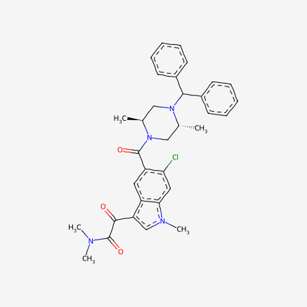 C[C@@H]1CN(C(=O)c2cc3c(C(=O)C(=O)N(C)C)cn(C)c3cc2Cl)[C@@H](C)CN1C(c1ccccc1)c1ccccc1